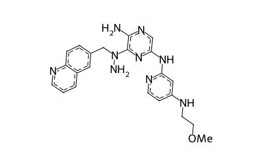 COCCNc1ccnc(Nc2cnc(N)c(N(N)Cc3ccc4ncccc4c3)n2)c1